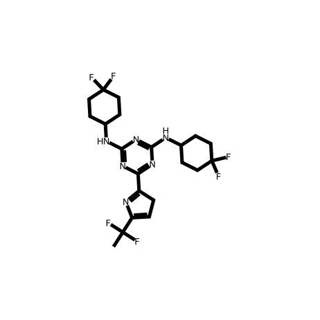 CC(F)(F)C1=CCC(c2nc(NC3CCC(F)(F)CC3)nc(NC3CCC(F)(F)CC3)n2)=N1